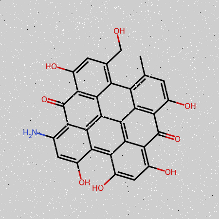 Cc1cc(O)c2c(=O)c3c(O)cc(O)c4c5c(O)cc(N)c6c(=O)c7c(O)cc(CO)c8c1c2c(c34)c(c65)c78